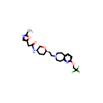 Cc1ncc(CC(=O)N[C@H]2CC[C@H](CCN3CCc4ccc(OCC(F)(F)F)nc4CC3)OC2)o1